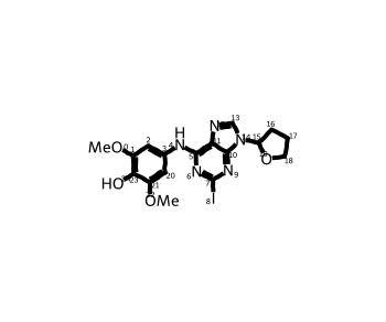 COc1cc(Nc2nc(I)nc3c2ncn3C2CCCO2)cc(OC)c1O